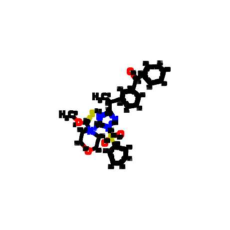 COC(=S)[N+]1(c2nc(C(C)c3cccc(C(=O)c4ccccc4)c3)nn2S(=O)(=O)c2ccccc2)CCOCC1